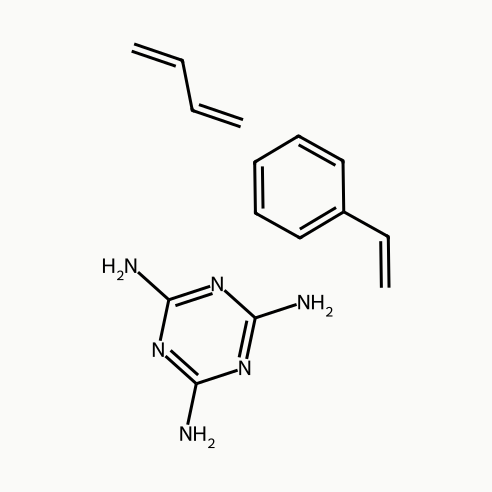 C=CC=C.C=Cc1ccccc1.Nc1nc(N)nc(N)n1